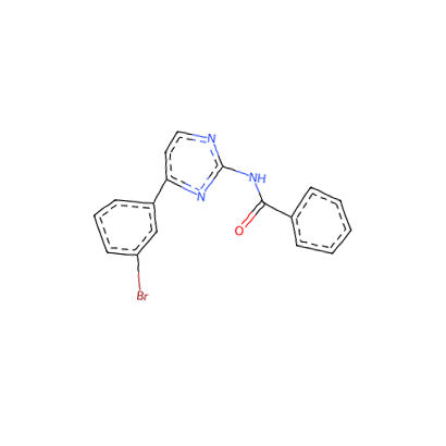 O=C(Nc1nccc(-c2cccc(Br)c2)n1)c1ccccc1